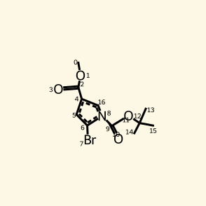 COC(=O)c1cc(Br)n(C(=O)OC(C)(C)C)c1